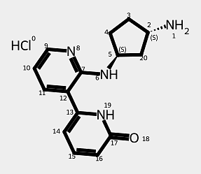 Cl.N[C@H]1CC[C@H](Nc2ncccc2-c2cccc(=O)[nH]2)C1